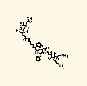 [N-]=[N+]=NCCC(=O)N[C@@H](CCCCN)C(=O)NCCNC(=O)[C@H](Cc1ccccc1)NC(=O)[C@H](Cc1ccccc1)NC(=O)CCCCCCCNC(=O)CC[C@H](NC(=O)N[C@@H](CCC(=O)O)C(=O)O)C(=O)O